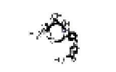 C=CC(=O)N1CCN(Cc2ccc3c(c2)N2CCCCCOc4c(cnn4C)-c4cc(cc(C)n4)C(=O)/N=C/2N3)CC1